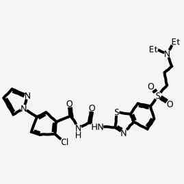 CCN(CC)CCCS(=O)(=O)c1ccc2nc(NC(=O)NC(=O)c3cc(-n4cccn4)ccc3Cl)sc2c1